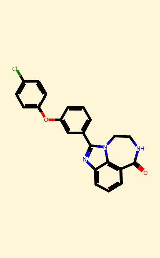 O=C1NCCn2c(-c3cccc(Oc4ccc(Cl)cc4)c3)nc3cccc1c32